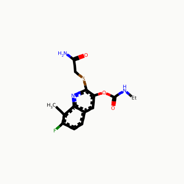 CCNC(=O)Oc1cc2ccc(F)c(C)c2nc1SCC(N)=O